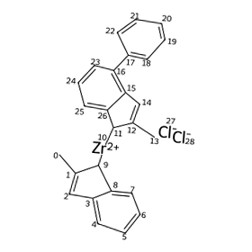 CC1=Cc2ccccc2[CH]1[Zr+2][CH]1C(C)=Cc2c(-c3ccccc3)cccc21.[Cl-].[Cl-]